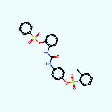 Cc1ccccc1S(=O)(=O)Oc1ccc(NC(=O)Nc2ccccc2OS(=O)(=O)c2ccccc2)cc1